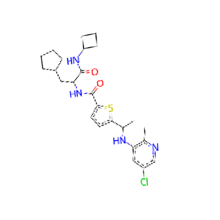 Cc1ncc(Cl)cc1NC(C)c1ccc(C(=O)NC(CC2CCCC2)C(=O)NC2CCC2)s1